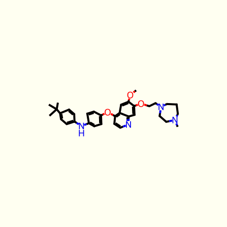 COc1cc2c(Oc3ccc(Nc4ccc(C(C)(C)C)cc4)cc3)ccnc2cc1OCCN1CCCN(C)CC1